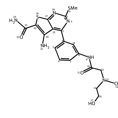 CSc1nc(-c2cccc(NC(=O)CN(C)CCO)c2)c2c(N)c(C(N)=O)sc2n1